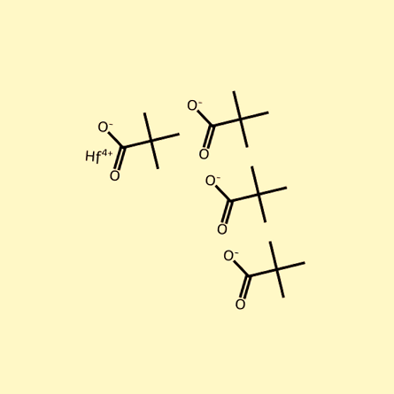 CC(C)(C)C(=O)[O-].CC(C)(C)C(=O)[O-].CC(C)(C)C(=O)[O-].CC(C)(C)C(=O)[O-].[Hf+4]